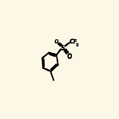 Cc1cccc(S(=O)(=O)C(F)(F)F)c1